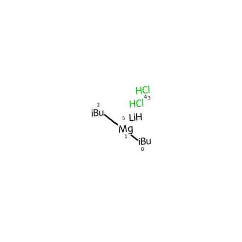 CC[CH](C)[Mg][CH](C)CC.Cl.Cl.[LiH]